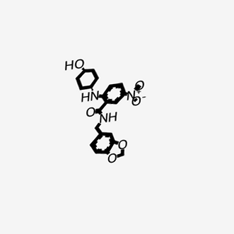 O=C(NCc1ccc2c(c1)OCO2)c1cc([N+](=O)[O-])ccc1N[C@H]1CC[C@H](O)CC1